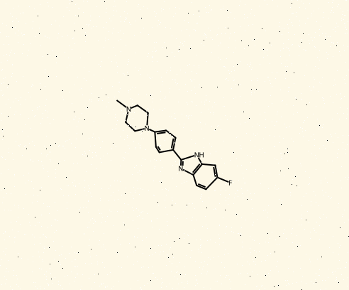 CN1CCN(c2ccc(-c3nc4ccc(F)cc4[nH]3)cc2)CC1